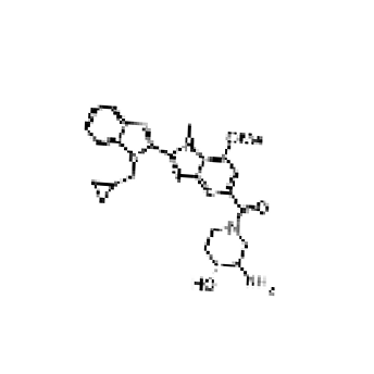 COc1cc(C(=O)N2CC[C@@H](O)C(N)C2)cc2nc(-c3cc4ccccc4n3CC3CC3)n(C)c12